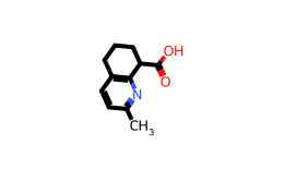 Cc1ccc2c(n1)C(C(=O)O)CCC2